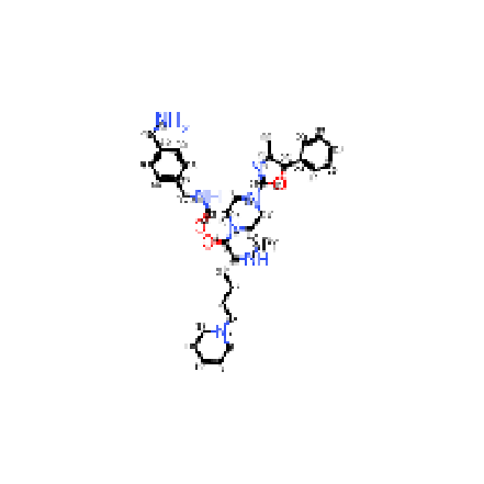 CC(C)N[C@H](CCCCN1CCCCC1)C(=O)N1CCN(C2=N[C@@H](C)C(c3ccccc3)O2)C[C@H]1C(=O)NCc1ccc(CN)cc1